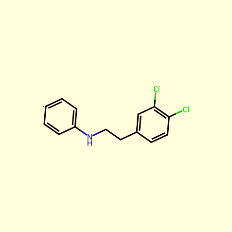 Clc1ccc(CCNc2cc[c]cc2)cc1Cl